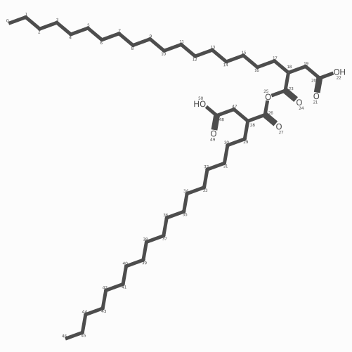 CCCCCCCCCCCCCCCCCCC(CC(=O)O)C(=O)OC(=O)C(CCCCCCCCCCCCCCCCCC)CC(=O)O